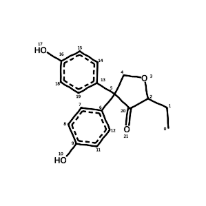 CCC1OCC(c2ccc(O)cc2)(c2ccc(O)cc2)C1=O